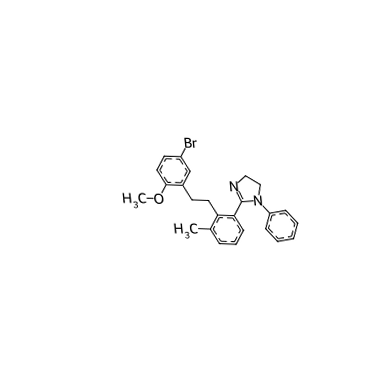 COc1ccc(Br)cc1CCc1c(C)cccc1C1=NCCN1c1ccccc1